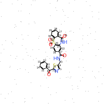 O=C(NCc1cnc(C(=O)c2ccccc2)s1)c1ccc2c(c1)NC(=O)c1ccccc1S2(=O)=O